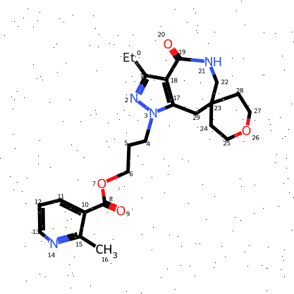 CCc1nn(CCCOC(=O)c2cccnc2C)c2c1C(=O)NCC1(CCOCC1)C2